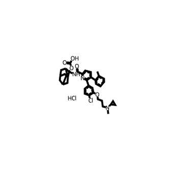 Cc1ccccc1-c1ccc(C(=O)NC2(OC(=O)O)C3CC4CC(C3)CC2C4)nc1-c1ccc(Cl)c(OCCCN(C)C2CC2)c1.Cl